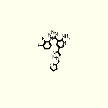 Nc1ncc(-c2cn(C[C@H]3CCCO3)nn2)cc1-c1nnnn1-c1cccc(F)c1F